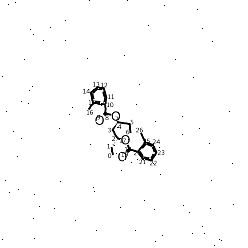 CC[C@H](C[C@H](CC)OC(=O)c1ccccc1C)OC(=O)c1ccccc1C